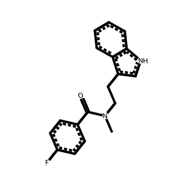 CN(CCc1c[nH]c2ccccc12)C(=O)c1ccc(F)cc1